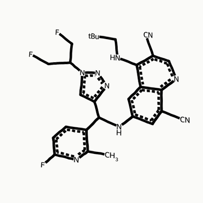 Cc1nc(F)ccc1C(Nc1cc(C#N)c2ncc(C#N)c(NCC(C)(C)C)c2c1)c1cn(C(CF)CF)nn1